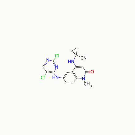 Cn1c(=O)cc(NC2(C#N)CC2)c2cc(Nc3nc(Cl)ncc3Cl)ccc21